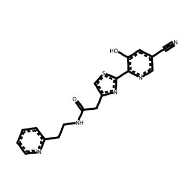 N#Cc1cnc(-c2nc(CC(=O)NCCc3ccccn3)cs2)c(O)c1